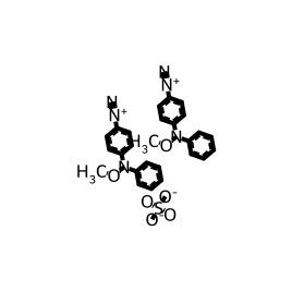 CON(c1ccccc1)c1ccc([N+]#N)cc1.CON(c1ccccc1)c1ccc([N+]#N)cc1.O=S(=O)([O-])[O-]